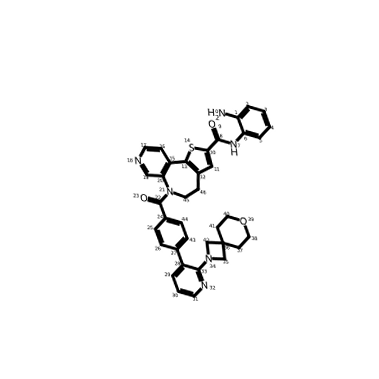 Nc1ccccc1NC(=O)c1cc2c(s1)-c1ccncc1N(C(=O)c1ccc(-c3cccnc3N3CC4(CCOCC4)C3)cc1)CC2